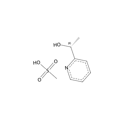 CS(=O)(=O)O.C[C@@H](O)c1ccccn1